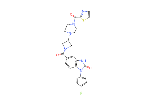 O=C(c1ccc2c(c1)[nH]c(=O)n2-c1ccc(F)cc1)N1CC(N2CCN(C(=O)c3nccs3)CC2)C1